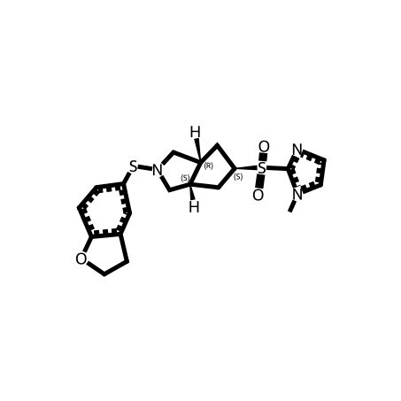 Cn1ccnc1S(=O)(=O)[C@H]1C[C@@H]2CN(Sc3ccc4c(c3)CCO4)C[C@@H]2C1